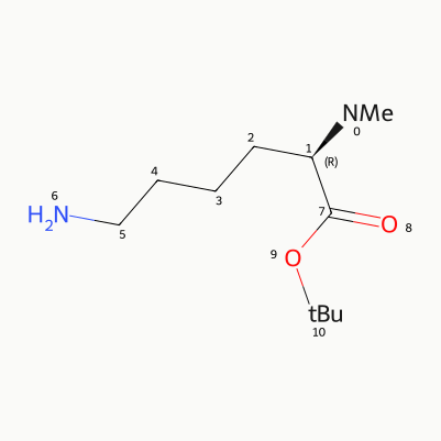 CN[C@H](CCCCN)C(=O)OC(C)(C)C